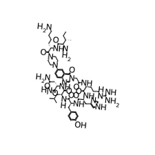 CC[C@H](C)[C@H](N)C(=O)N[C@@H](CCCCN)C(=O)N1CCN(c2ccc3ncn(CC(=O)N[C@@H](CCCNC(=N)N)C(=O)N[C@@H](Cc4c[nH]cn4)C(=O)N[C@@H](Cc4ccc(O)cc4)C(=O)N[C@@H](CC(C)C)C(=O)N[C@@H](CC(N)=O)C(=O)NC)c(=O)c3c2)CC1